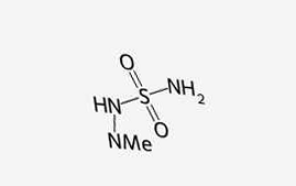 CNNS(N)(=O)=O